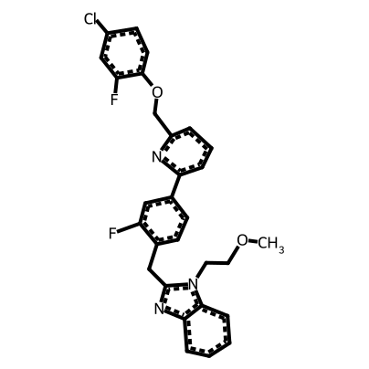 COCCn1c(Cc2ccc(-c3cccc(COc4ccc(Cl)cc4F)n3)cc2F)nc2ccccc21